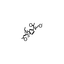 CCN1/C(=C/C(C)=O)Sc2ccc(N(CCOC)C(C)=O)cc21